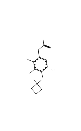 C=C(CCC)Cc1ccc(OC2(C(=O)[O-])CCC2)c(Cl)c1Cl.[Na+]